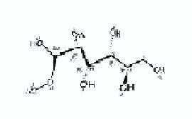 OC[C@@H](O)[C@@H](O)[C@H](O)[C@@H](O)C(O)OO